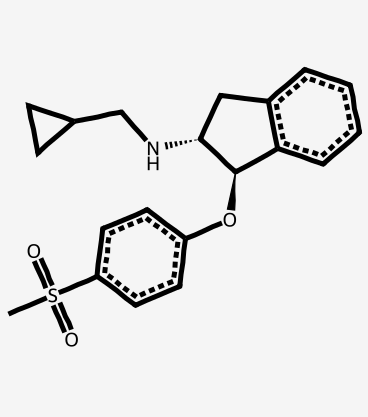 CS(=O)(=O)c1ccc(O[C@@H]2c3ccccc3C[C@H]2NCC2CC2)cc1